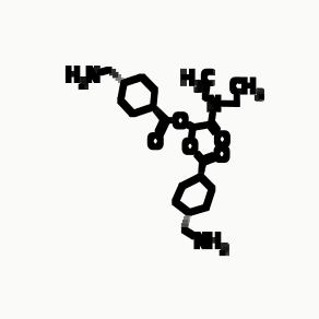 CCN(CC)C(=O)C(OC(=O)[C@H]1CC[C@H](CN)CC1)OC(=O)[C@H]1CC[C@H](CN)CC1